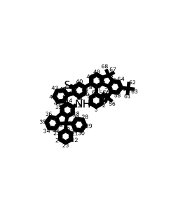 Cc1ccccc1-c1c(-c2cc(Nc3ccc4c(c3)C(c3ccccc3)(c3ccccc3)c3ccccc3-4)c3c(c2)sc2ccccc23)ccc2c1-c1c(C(C)(C)C)cc(C(C)(C)C)cc1C2(C)C